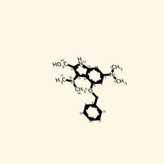 CN(C)c1cc(OCc2ccccc2)c2c(N(C)C)c(C(=O)O)[nH]c2c1